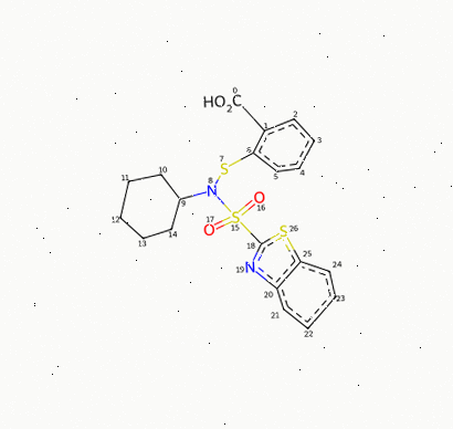 O=C(O)c1ccccc1SN(C1CCCCC1)S(=O)(=O)c1nc2ccccc2s1